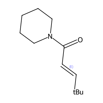 CC(C)(C)/C=C/C(=O)N1CCCCC1